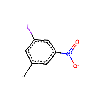 [CH2]c1cc(I)cc([N+](=O)[O-])c1